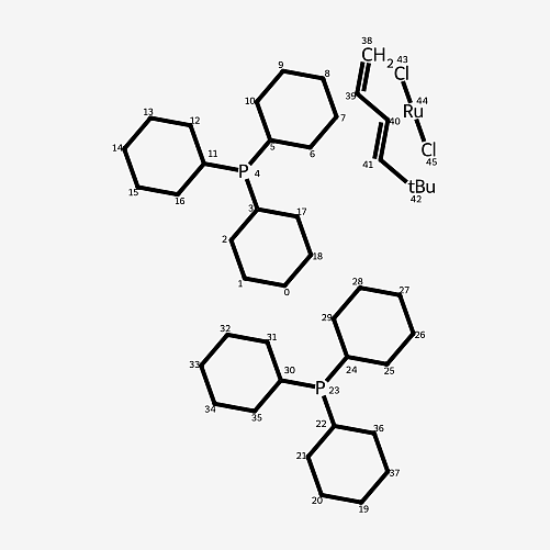 C1CCC(P(C2CCCCC2)C2CCCCC2)CC1.C1CCC(P(C2CCCCC2)C2CCCCC2)CC1.C=CC=CC(C)(C)C.[Cl][Ru][Cl]